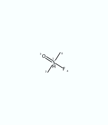 C[SH](C)(=O)F